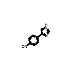 O=Nc1ccc(-c2c[nH]cn2)cc1